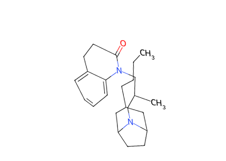 CCCCC1CC2CCC(C1)N2CC(C)CN1C(=O)CCc2ccccc21